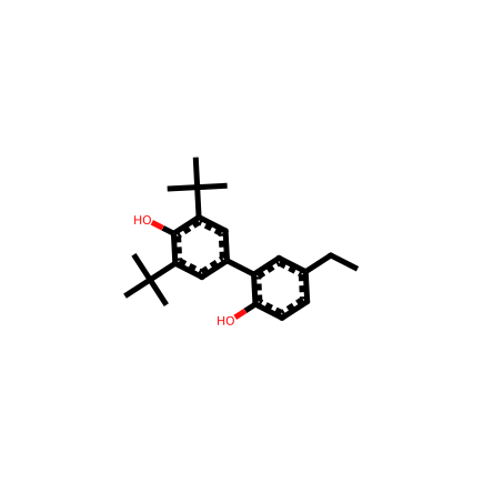 CCc1ccc(O)c(-c2cc(C(C)(C)C)c(O)c(C(C)(C)C)c2)c1